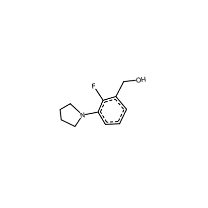 OCc1cccc(N2CCCC2)c1F